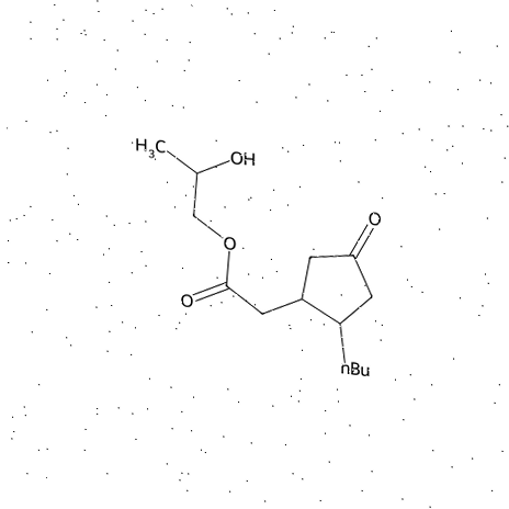 CCCCC1CC(=O)CC1CC(=O)OCC(C)O